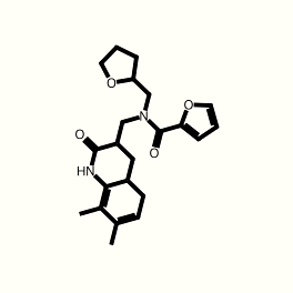 CC1=CCC2CC(CN(CC3CCCO3)C(=O)c3ccco3)C(=O)NC2=C1C